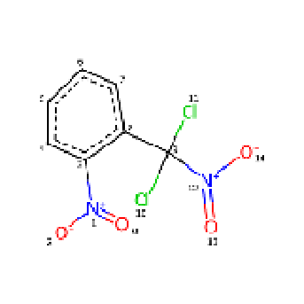 O=[N+]([O-])c1ccccc1C(Cl)(Cl)[N+](=O)[O-]